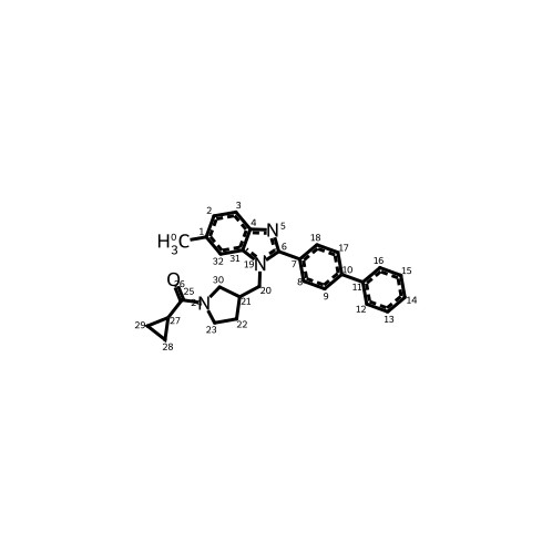 Cc1ccc2nc(-c3ccc(-c4ccccc4)cc3)n(CC3CCN(C(=O)C4CC4)C3)c2c1